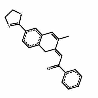 CC1=Cc2cc(C3=NCCS3)ccc2CC1=CC(=O)c1ccccc1